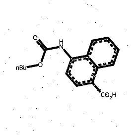 CCCCOC(=O)Nc1ccc(C(=O)O)c2ccccc12